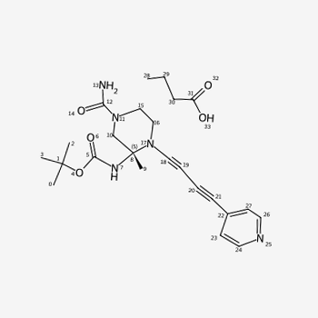 CC(C)(C)OC(=O)N[C@]1(C)CN(C(N)=O)CCN1C#CC#Cc1ccncc1.CCCC(=O)O